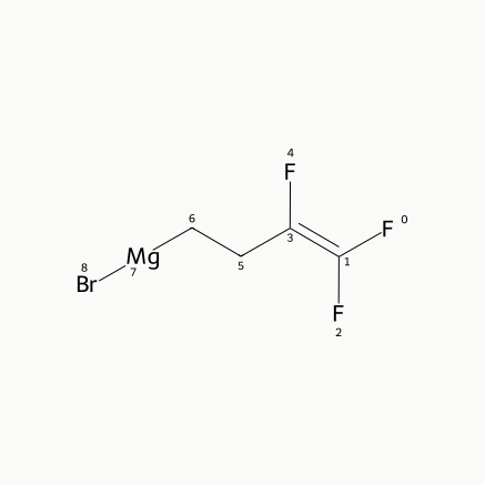 FC(F)=C(F)C[CH2][Mg][Br]